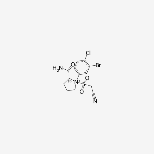 N#CCS(=O)(=O)[N+]1(c2ccc(Cl)c(Br)c2)CCC[C@@H]1C(N)=O